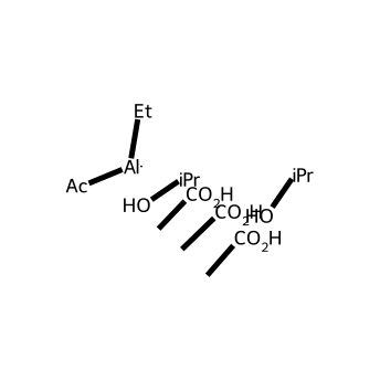 CC(=O)O.CC(=O)O.CC(=O)O.CC(C)O.CC(C)O.C[CH2][Al][C](C)=O